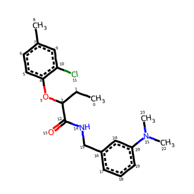 CCC(Oc1ccc(C)cc1Cl)C(=O)NCc1cccc(N(C)C)c1